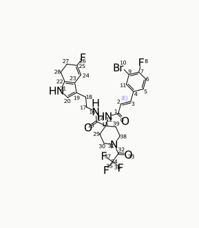 O=C(/C=C/c1ccc(F)c(Br)c1)NC1(C(=O)NCCc2c[nH]c3c2C=C(F)CC3)CCN(C(=O)C(F)(F)F)CC1